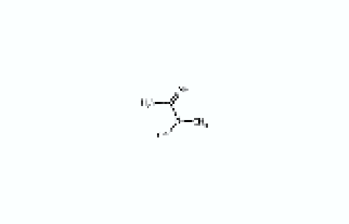 [CH2]CCN(C)C(=N)N